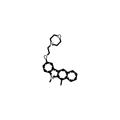 Cc1c2ccccc2cc2c3cc(OCCN4CCOCC4)ccc3n(C)c12